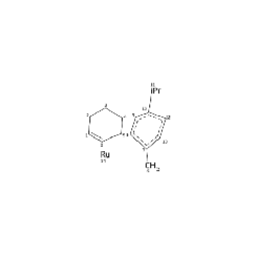 C1=CCCCC1.Cc1ccc(C(C)C)cc1.[Ru]